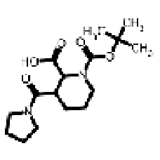 CC(C)(C)OC(=O)N1CCCC(C(=O)N2CCCC2)C1C(=O)O